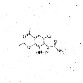 CCOc1c(C(C)=O)cc(Cl)c2c(C(N)=O)n[nH]c12